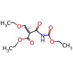 CCO/C=C(/C(=O)NC(=O)OCC)C(=O)OCC